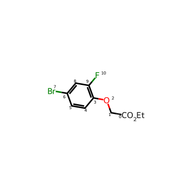 CCOC(=O)COc1ccc(Br)cc1F